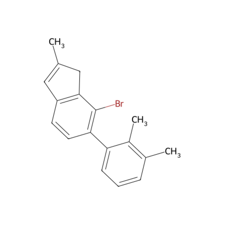 CC1=Cc2ccc(-c3cccc(C)c3C)c(Br)c2C1